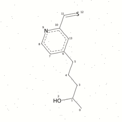 CC(O)CCCc1ccnc(C=S)c1